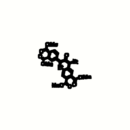 CCC(C(=O)C(CC)c1ccc(C(=O)OC)c(C(=O)OC)c1)c1ccc(C(=O)OC)c(C(=O)OC)c1